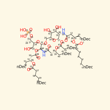 CCCCCCCCCCCCCCCC(=O)O[C@H](CCCCCCCCCCC)CC(=O)N[C@@H]1COC(COC(OC(CO)[C@H](C)OP(=O)(O)O)[C@@H](NC(=O)C[C@@H](CCCCCCCCCCC)OC(=O)CCCCCCCCCCC)OC(=O)C[C@@H](CCCCCCCCCCC)OC(=O)CCCCCCCCCCCCC)C(O)C1O